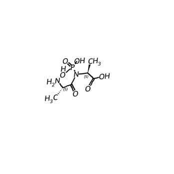 C[C@H](N)C(=O)N([C@@H](C)C(=O)O)P(=O)(O)O